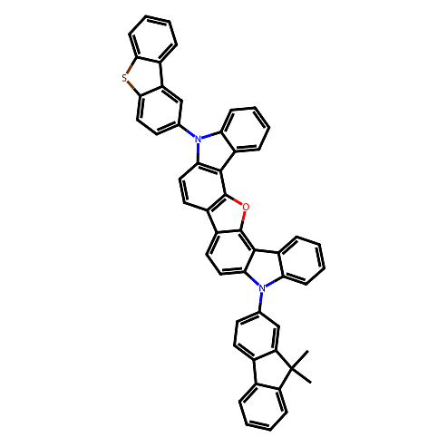 CC1(C)c2ccccc2-c2ccc(-n3c4ccccc4c4c5oc6c(ccc7c6c6ccccc6n7-c6ccc7sc8ccccc8c7c6)c5ccc43)cc21